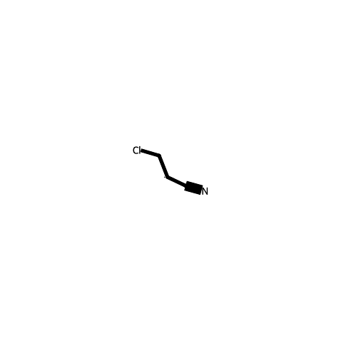 N#C[CH]CCl